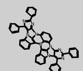 c1ccc(-c2nc(-c3ccccc3)c3c(n2)n2c4c(c5ccccc5n34)B3c4c-2cccc4-n2c4nc(-c5ccccc5)nc(-c5ccccc5)c4n4c5ccccc5c3c24)cc1